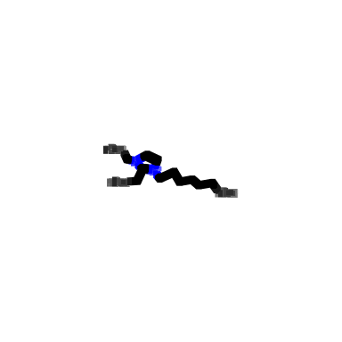 CCCCCCCCCCCCCCCC[n+]1ccn(CCCCCCCCCCC)c1CCCCCCCCCCC